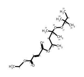 CCOC(=O)/C=C/C(=O)OC(C)CC(C)(C)OOC(C)(C)CC